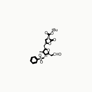 C[C@@H]1[C@@H](CS(=O)(=O)c2ccccc2)[C@H](CC=O)O[C@@H]1C[C@H]1CN(C(=O)OC(C)(C)C)C(=O)O1